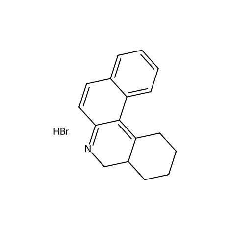 Br.c1ccc2c3c(ccc2c1)=NCC1CCCCC=31